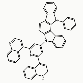 C1=C(c2cc(-n3c4ccccc4c4c3ccc3c5ccccc5n(-c5ccccc5)c34)cc(-c3ccnc4ccccc34)n2)c2ccccc2NC1